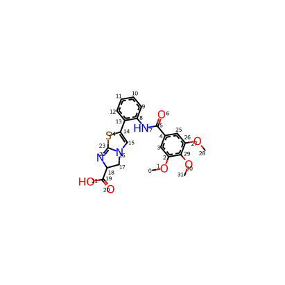 COc1cc(C(=O)Nc2ccccc2C2=CN3CC(C(=O)O)N=C3S2)cc(OC)c1OC